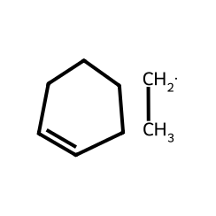 C1=CCCCC1.[CH2]C